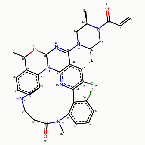 C=CC(=O)N1C[C@H](C)N(C2=NC3OC(C)c4cccc5c4N3c3nc(c(F)cc32)-c2c(F)cccc2N(C)C(=O)CCN5)C[C@H]1C